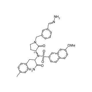 COc1ccc2ccc(S(=O)(=O)N(C(Cc3ccc(C)cc3)C(N)=O)[C@H]3CCN(Cc4cccc(C=NN)c4)C3=O)cc2c1